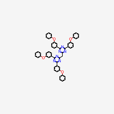 c1ccc(Oc2cccc(-c3nc(Cc4nc(-c5cccc(Oc6ccccc6)c5)nc(-c5cccc(Oc6ccccc6)c5)n4)nc(-c4cccc(Oc5ccccc5)c4)n3)c2)cc1